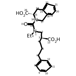 CCN(C[C@H](CCCc1ccccc1)C(=O)O)C(=O)N1Cc2ccccc2C[C@H]1C(=O)O